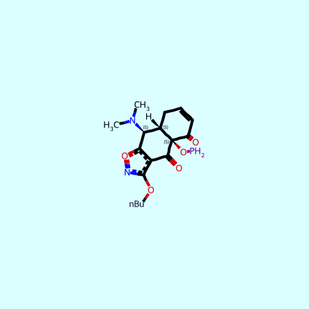 CCCCOc1noc2c1C(=O)[C@@]1(OP)C(=O)C=CC[C@H]1[C@@H]2N(C)C